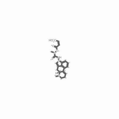 CN(OC(=O)/C=C\C(=O)O)C(=S)Nn1cc2c3c(cccc31)C1=CCCN(C)[C@@H]1C2